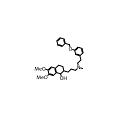 COc1cc2c(cc1OC)C(O)C(CCCN(C)CCc1cccc(OCc3ccccc3)c1)CC2